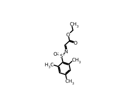 CCOC(=O)/C=N/[S@@+]([O-])c1c(C)cc(C)cc1C